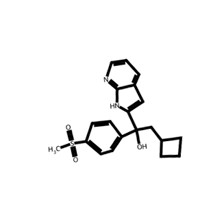 CS(=O)(=O)c1ccc(C(O)(CC2CCC2)c2cc3cccnc3[nH]2)cc1